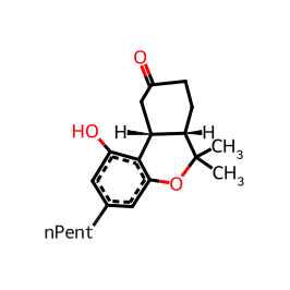 CCCCCc1cc(O)c2c(c1)OC(C)(C)[C@H]1CCC(=O)C[C@@H]21